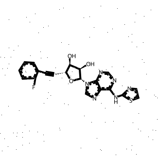 O[C@@H]1[C@H](O)[C@@H](C#Cc2ccccc2F)O[C@H]1n1cnc2c(Nc3nccs3)ncnc21